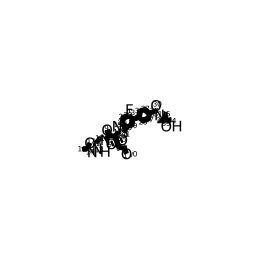 COCCS(=O)(=O)C(C(=O)NCc1nnc(C)o1)c1nc2cc(F)c(-c3ccc(C(=O)N4CC(C)(O)C4)cc3)cc2s1